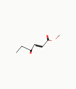 CCC(=O)/C=C/C(=O)OC